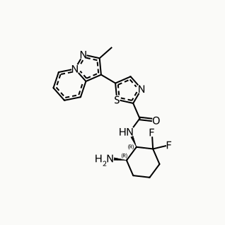 Cc1nn2ccccc2c1-c1cnc(C(=O)N[C@@H]2[C@H](N)CCCC2(F)F)s1